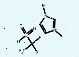 CCn1cc[n+](C)c1.O=S(=O)([O-])C(F)(F)C(F)(F)F